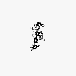 CC(CN1C(=O)C=CC1=O)n1nc(-c2ccc(Oc3c(F)c(F)cc(F)c3F)cc2F)c2c(N)ncnc21